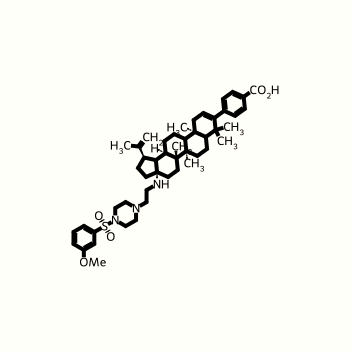 C=C(C)[C@@H]1CC[C@]2(NCCN3CCN(S(=O)(=O)c4cccc(OC)c4)CC3)CC[C@]3(C)[C@H](CCC4[C@@]5(C)CC=C(c6ccc(C(=O)O)cc6)C(C)(C)C5CC[C@]43C)C12